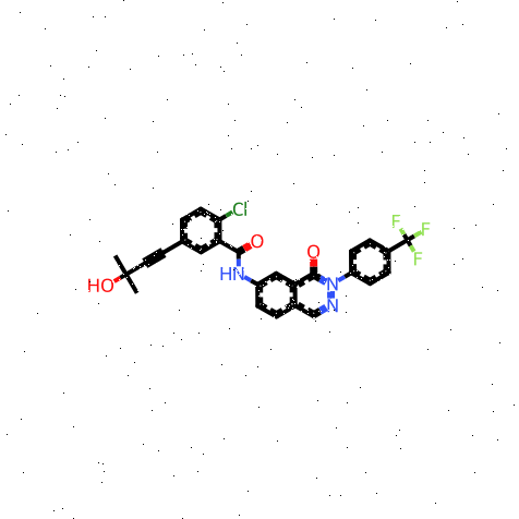 CC(C)(O)C#Cc1ccc(Cl)c(C(=O)Nc2ccc3cnn(-c4ccc(C(F)(F)F)cc4)c(=O)c3c2)c1